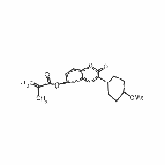 C=C(C)C(=O)Oc1ccc2oc(=O)c(C3CCC(OC)CC3)cc2c1